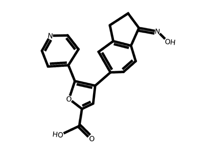 O=C(O)c1cc(-c2ccc3c(c2)CC/C3=N/O)c(-c2ccncc2)o1